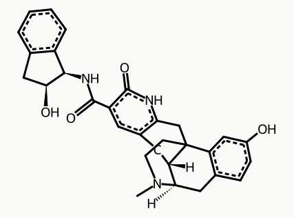 CN1CCC23Cc4[nH]c(=O)c(C(=O)N[C@@H]5c6ccccc6C[C@@H]5O)cc4C[C@H]2[C@H]1Cc1ccc(O)cc13